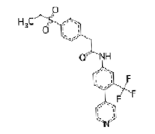 CCS(=O)(=O)c1ccc(CC(=O)Nc2ccc(-c3ccncc3)c(C(F)(F)F)c2)cc1